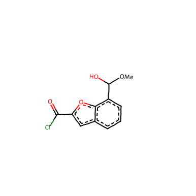 COC(O)c1cccc2cc(C(=O)Cl)oc12